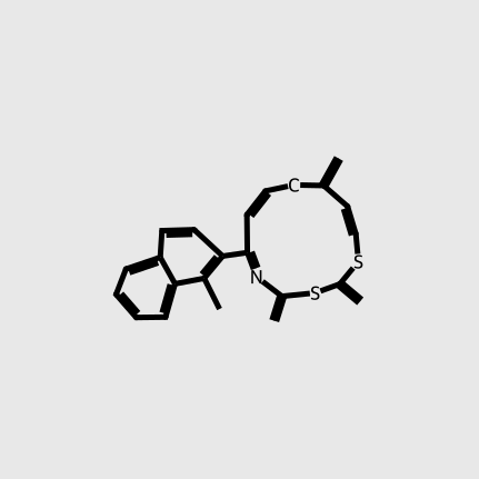 C=C1/C=C\SC(=C)SC(=C)/N=C(c2ccc3ccccc3c2C)\C=C/C1